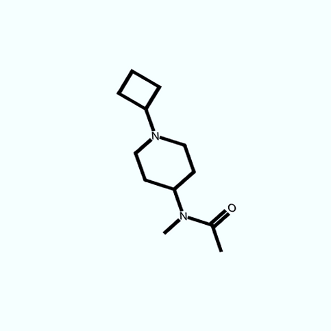 CC(=O)N(C)C1CCN(C2CCC2)CC1